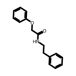 O=C(COc1ccccc1)NCCc1ccccc1